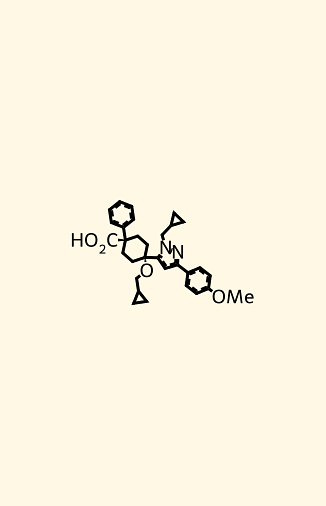 COc1ccc(-c2cc([C@]3(OCC4CC4)CC[C@@](C(=O)O)(c4ccccc4)CC3)n(CC3CC3)n2)cc1